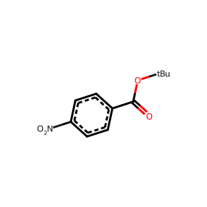 CC(C)(C)OC(=O)c1ccc([N+](=O)[O-])cc1